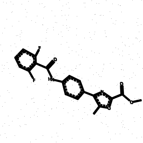 COC(=O)c1nc(-c2ccc(NC(=O)c3c(F)cccc3F)cc2)c(C)o1